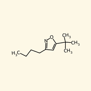 CCCCc1cc(C(C)(C)C)on1